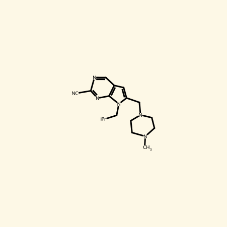 CC(C)Cn1c(CN2CCN(C)CC2)cc2cnc(C#N)nc21